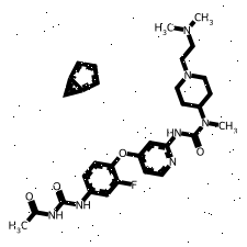 CC(=O)NC(=O)Nc1ccc(Oc2ccnc(NC(=O)N(C)C3CCN(CCN(C)C)CC3)c2)c(F)c1.c1cc2cc-2c1